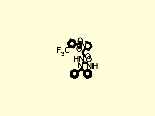 O=C(CC1CCCCN1S(=O)(=O)c1cccc(C(F)(F)F)c1)NC1N=C(c2ccccc2)c2ccccc2NC1=O